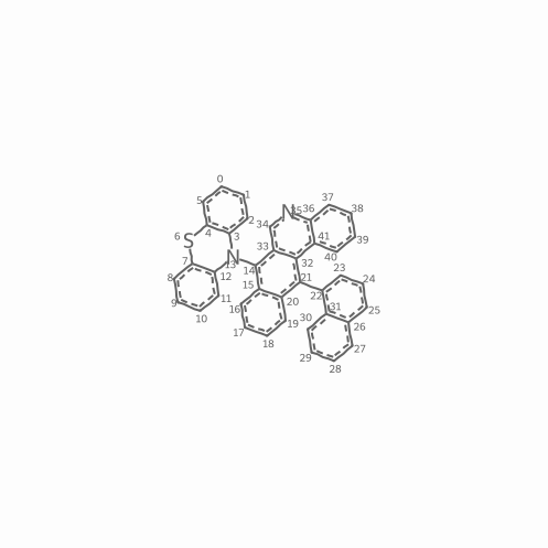 c1ccc2c(c1)Sc1ccccc1N2c1c2ccccc2c(-c2cccc3ccccc23)c2c1cnc1ccccc12